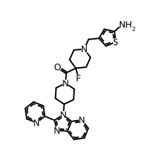 Nc1cc(CN2CCC(F)(C(=O)N3CCC(n4c(-c5ccccn5)nc5cccnc54)CC3)CC2)cs1